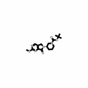 CSc1ncc2c(n1)C(=O)N([C@H]1CCCN(C(=O)OC(C)(C)C)C1)C2